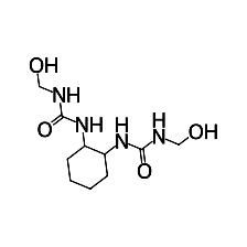 O=C(NCO)NC1CCCCC1NC(=O)NCO